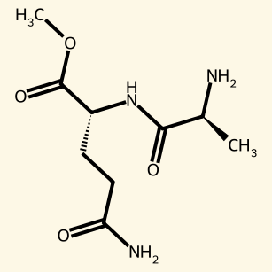 COC(=O)[C@@H](CCC(N)=O)NC(=O)[C@H](C)N